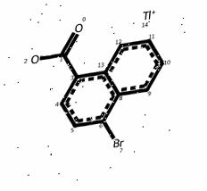 O=C([O-])c1ccc(Br)c2ccccc12.[Tl+]